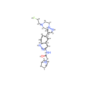 O=C(CN1C2CCC1CC2)Nc1cc2cc(-c3cnn4c3CN(CCF)CC4)ccc2nn1